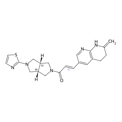 C=C1CCc2cc(/C=C/C(=O)N3C[C@@H]4CN(c5nccs5)C[C@@H]4C3)cnc2N1